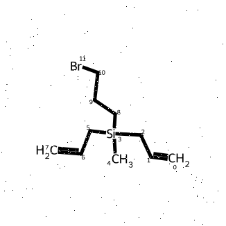 C=CC[Si](C)(CC=C)CCCBr